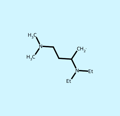 [CH2]C(CCN(C)C)N(CC)CC